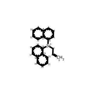 C=CC[Si](c1cccc2ccccc12)c1cccc2ccccc12